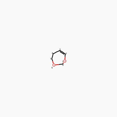 [CH]1OC=CCCO1